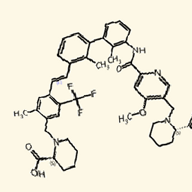 COc1cc(C(=O)Nc2cccc(-c3cccc(/C=C/c4cc(C)c(CN5CCCC[C@H]5C(=O)O)cc4C(F)(F)F)c3C)c2C)ncc1CN1CCCC[C@H]1C(=O)O